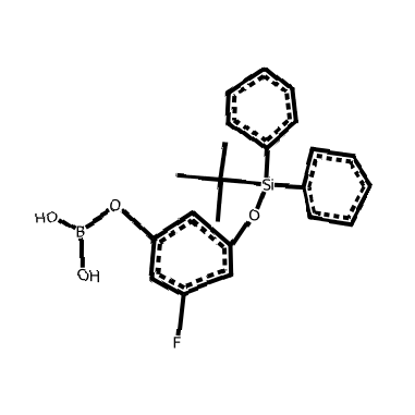 CC(C)(C)[Si](Oc1cc(F)cc(OB(O)O)c1)(c1ccccc1)c1ccccc1